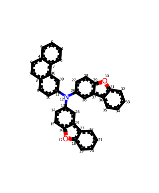 c1ccc2c(c1)ccc1ccc(N(c3ccc4oc5ccccc5c4c3)c3ccc4oc5ccccc5c4c3)cc12